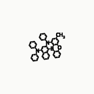 Cc1cc2c3c(c1)N(c1ccccc1)c1cc(N(c4ccccc4)c4ccccc4)c4ccccc4c1B3c1ccccc1O2